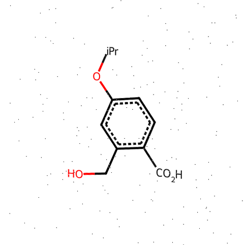 CC(C)Oc1ccc(C(=O)O)c(CO)c1